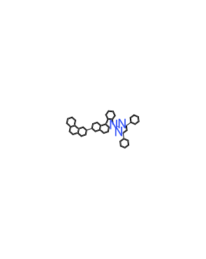 c1ccc(-c2cc(-c3ccccc3)nc(-n3c4ccccc4c4c5ccc(-c6ccc7ccc8ccccc8c7c6)cc5ccc43)n2)cc1